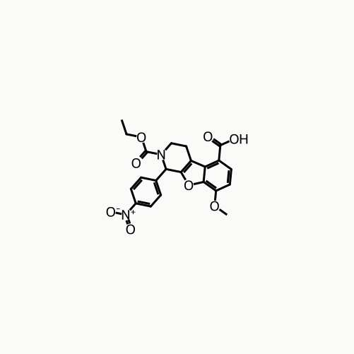 CCOC(=O)N1CCc2c(oc3c(OC)ccc(C(=O)O)c23)C1c1ccc([N+](=O)[O-])cc1